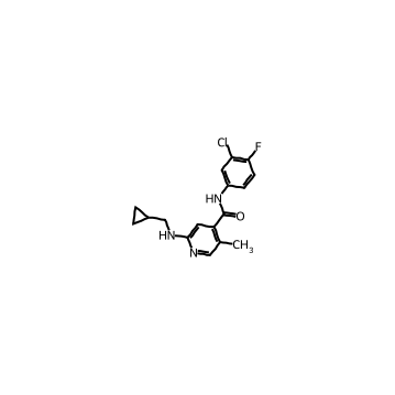 Cc1cnc(NCC2CC2)cc1C(=O)Nc1ccc(F)c(Cl)c1